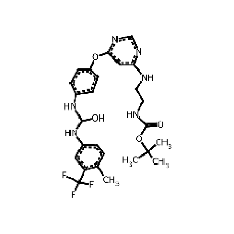 Cc1ccc(NC(O)Nc2ccc(Oc3cc(NCCNC(=O)OC(C)(C)C)ncn3)cc2)cc1C(F)(F)F